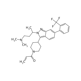 C=CC(=O)N1CCC(c2c3ccc(-c4ccccc4C(F)(F)F)cc3nn2C(C)CCN(C)C)CC1